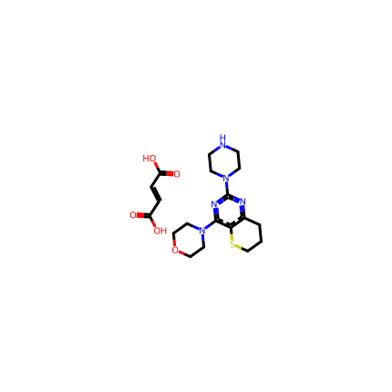 C1CSc2c(nc(N3CCNCC3)nc2N2CCOCC2)C1.O=C(O)C=CC(=O)O